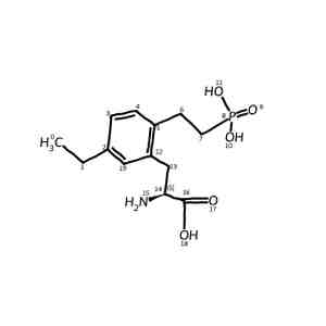 CCc1ccc(CCP(=O)(O)O)c(C[C@H](N)C(=O)O)c1